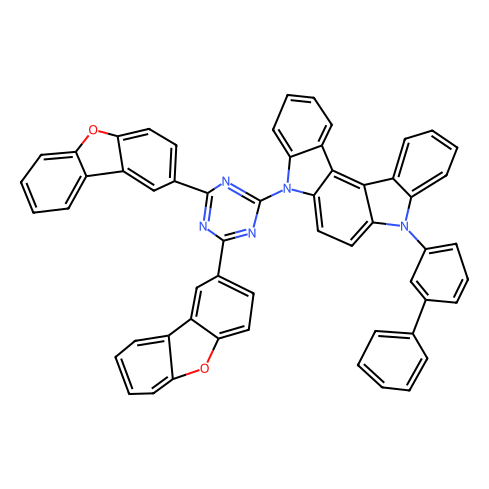 c1ccc(-c2cccc(-n3c4ccccc4c4c5c6ccccc6n(-c6nc(-c7ccc8oc9ccccc9c8c7)nc(-c7ccc8oc9ccccc9c8c7)n6)c5ccc43)c2)cc1